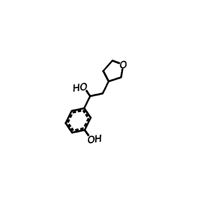 Oc1cccc(C(O)CC2CCOC2)c1